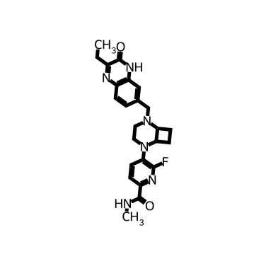 CCc1nc2ccc(CN3CCN(c4ccc(C(=O)NC)nc4F)C4CCC43)cc2[nH]c1=O